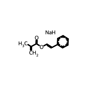 C=C(C)C(=O)OC=Cc1ccccc1.[NaH]